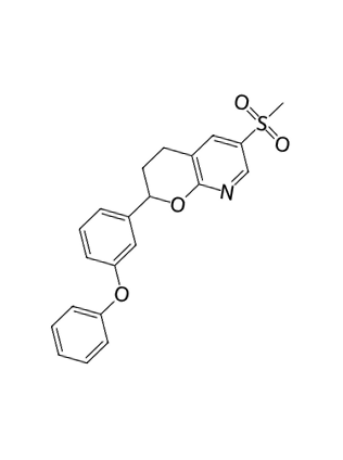 CS(=O)(=O)c1cnc2c(c1)CCC(c1cccc(Oc3ccccc3)c1)O2